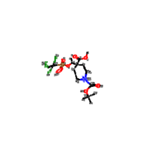 COC(=O)C1(C(C)OS(=O)(=O)C(F)(F)F)CCN(C(=O)OC(C)(C)C)CC1